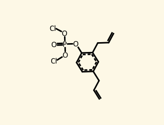 C=CCc1ccc(OP(=O)(OCl)OCl)c(CC=C)c1